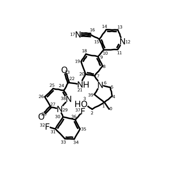 CC1(CO)CCN(c2cc(-c3cnccc3C#N)ccc2NC(=O)c2ccc(=O)n(-c3c(F)cccc3F)n2)C1